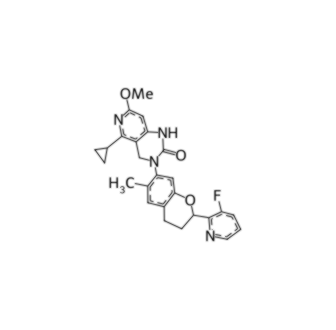 COc1cc2c(c(C3CC3)n1)CN(c1cc3c(cc1C)CCC(c1ncccc1F)O3)C(=O)N2